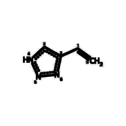 C=Cc1c[nH]nn1